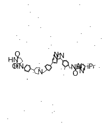 Cc1cc(-c2ncnn3cc(-c4ccc(CN5CCC(c6ccc(NC7CCC(=O)NC7=O)cc6)CC5)cc4)cc23)ccc1CNC(=O)c1ncc(C(C)C)cn1